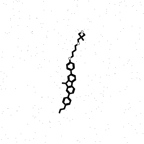 CCCc1ccc(-c2ccc3c(c2)C(C)c2cc(-c4ccc(OCCCCOCC5(C)COC5)cc4)ccc2-3)cc1